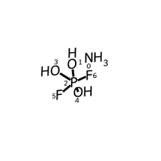 N.OP(O)(O)(F)F